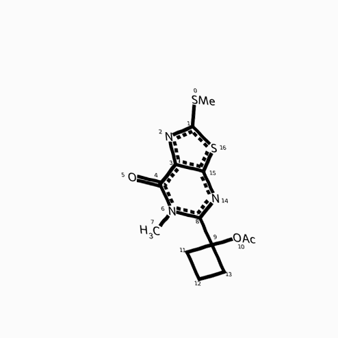 CSc1nc2c(=O)n(C)c(C3(OC(C)=O)CCC3)nc2s1